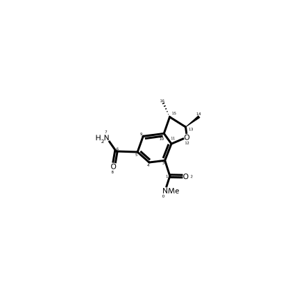 CNC(=O)c1cc(C(N)=O)cc2c1O[C@H](C)[C@H]2C